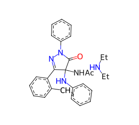 CC(=O)NC1(Nc2ccccc2)C(=O)N(c2ccccc2)N=C1c1ccccc1C.CCNCC